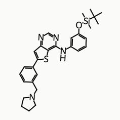 CC(C)(C)[Si](C)(C)Oc1cccc(Nc2ncnc3cc(-c4cccc(CN5CCCC5)c4)sc23)c1